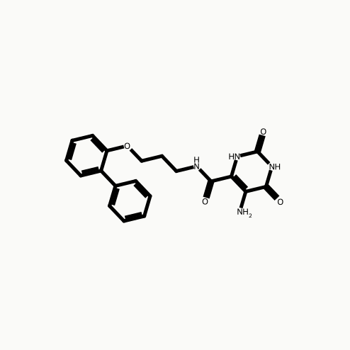 Nc1c(C(=O)NCCCOc2ccccc2-c2ccccc2)[nH]c(=O)[nH]c1=O